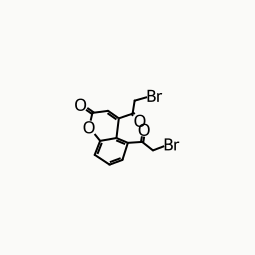 O=C(CBr)c1cccc2oc(=O)cc(C(=O)CBr)c12